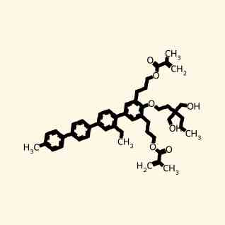 C=C(C)C(=O)OCCCc1cc(-c2ccc(-c3ccc(-c4ccc(C)cc4)cc3)cc2CC)cc(CCCOC(=O)C(=C)C)c1OCCC(CO)(CO)CCC